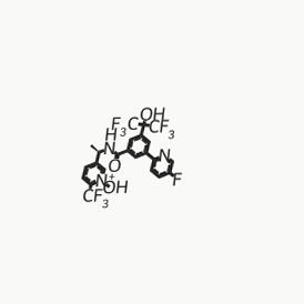 C[C@@H](NC(=O)c1cc(-c2ccc(F)cn2)cc(C(O)(C(F)(F)F)C(F)(F)F)c1)c1ccc(C(F)(F)F)[n+](O)c1